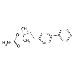 CC(C)(CCc1ccc(-c2ccncc2)cc1)OC(N)=O